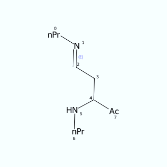 CCC/N=C/CC(NCCC)C(C)=O